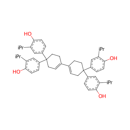 CC(C)c1cc(C2(c3ccc(O)c(C(C)C)c3)CC=C(C3=CCC(c4ccc(O)c(C(C)C)c4)(c4ccc(O)c(C(C)C)c4)CC3)CC2)ccc1O